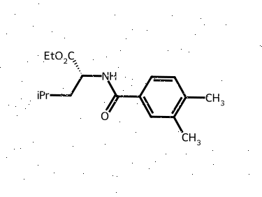 CCOC(=O)[C@@H](CC(C)C)NC(=O)c1ccc(C)c(C)c1